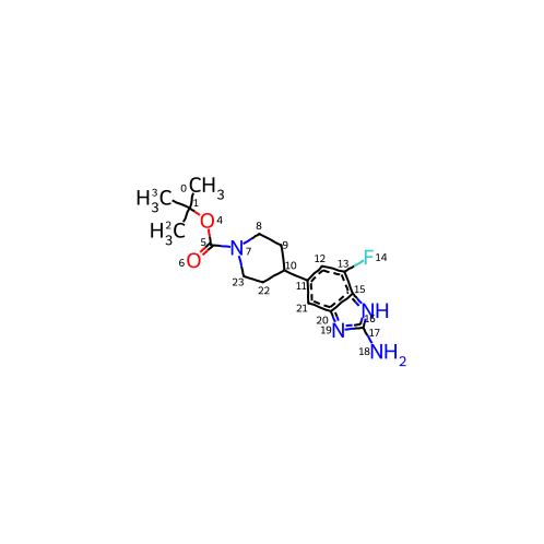 CC(C)(C)OC(=O)N1CCC(c2cc(F)c3[nH]c(N)nc3c2)CC1